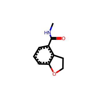 CNC(=O)c1cc[c]c2c1CCO2